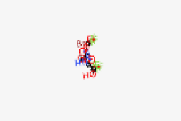 O=C1Nc2ccc(-c3cc(O)cc(C(F)(F)F)c3F)cc2C(=O)N2CCN(C(=O)COc3ccc(OC(F)(F)F)cc3Br)C[C@@H]12